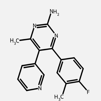 Cc1cc(-c2nc(N)nc(C)c2-c2cccnc2)ccc1F